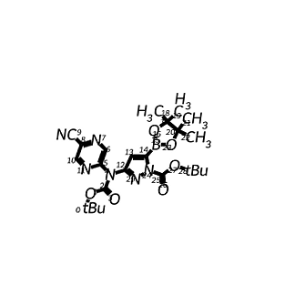 CC(C)(C)OC(=O)N(c1cnc(C#N)cn1)c1cc(B2OC(C)(C)C(C)(C)O2)n(C(=O)OC(C)(C)C)n1